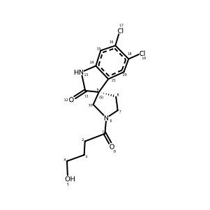 O=C(CCCO)N1CC[C@]2(C1)C(=O)Nc1cc(Cl)c(Cl)cc12